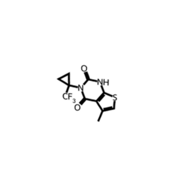 Cc1csc2[nH]c(=O)n(C3(C(F)(F)F)CC3)c(=O)c12